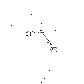 CCOC(CNCCCCC(C)OCCCCc1ccccc1)OCC